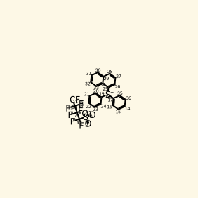 O=S(=O)([O-])C(F)(F)C(F)(F)C(F)(F)C(F)(F)F.c1ccc([S+](c2ccccc2)c2cccc3ccccc23)cc1